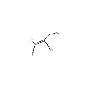 C/C(F)=C(/F)CO